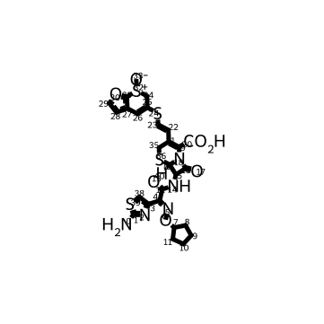 Nc1nc(C(=NOC2CCCC2)C(=O)NC2C(=O)N3C(C(=O)O)=C(C=CSC4=Cc5ccoc5[S+]([O-])C4)CS[C@@H]23)cs1